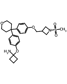 CS(=O)(=O)N1CC(COc2ccc(C3(c4ccc(OC5(N)CCC5)cc4)CCOCC3)cc2)C1